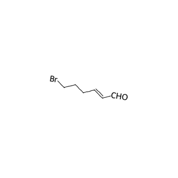 O=CC=CCCCBr